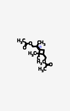 CC(=O)OC/C(C)=C1/CC(COC(C)=O)C1(C)C